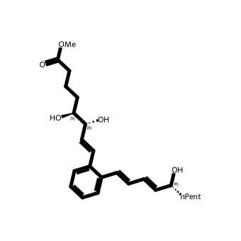 CCCCC[C@@H](O)C=CC=Cc1ccccc1C=C[C@@H](O)[C@@H](O)CCCC(=O)OC